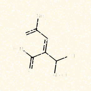 CCCCCC(C)C(=CC(N)=O)C(N)=O